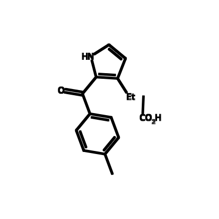 CC(=O)O.CCc1cc[nH]c1C(=O)c1ccc(C)cc1